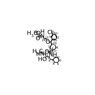 CNCC(O)C(CC1CCCCC1)NC(=O)N1CCC[C@@H]([C@@H](OCCNC(=O)OC)c2cccc(Cl)c2)C1